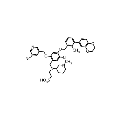 Cc1c(COc2cc(OCc3cncc(C#N)c3)c(CN(CCS(=O)(=O)O)[C@@H]3CCCN(C)C3)cc2Cl)cccc1-c1ccc2c(c1)OCCO2